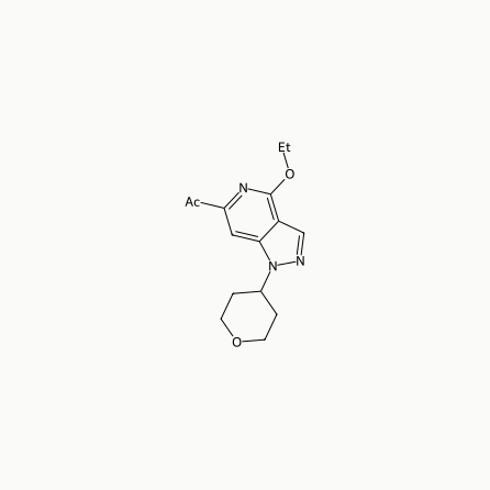 CCOc1nc(C(C)=O)cc2c1cnn2C1CCOCC1